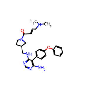 CN(C)CC=CC(=O)N1CC[C@H](CNc2ncnc(N)c2-c2ccc(Oc3ccccc3)cc2)C1